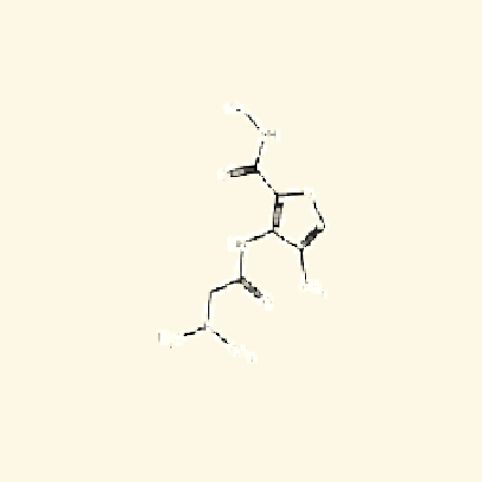 Cc1csc(C(=O)NC(C)(C)C)c1NC(=O)CN(C)C